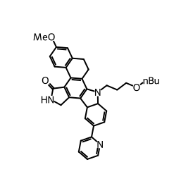 CCCCOCCCN1c2c3c(c4c(c2C2C=C(c5ccccn5)C=CC21)CNC4=O)-c1ccc(OC)cc1CC3